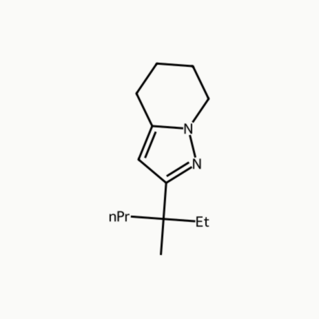 CCCC(C)(CC)c1cc2n(n1)CCCC2